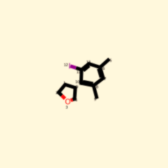 C1CCOC1.Cc1cc(C)cc(I)c1